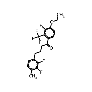 CCOc1ccc(C(=O)CCCc2ccc(C)c(F)c2F)c(C(F)(F)F)c1F